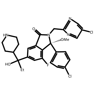 CCC(O)(c1cc(F)c2c(c1)C(=O)N(Cc1ncc(Cl)cn1)[C@@]2(OC)c1ccc(Cl)cc1)C1CCNCC1